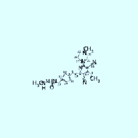 CCc1c(C#N)c(SCc2ccc(CNC(=O)CNC)cc2)nc(N2CCCN(C)CC2)c1C#N